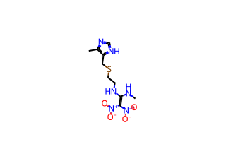 CNC(NCCSCc1[nH]cnc1C)=C([N+](=O)[O-])[N+](=O)[O-]